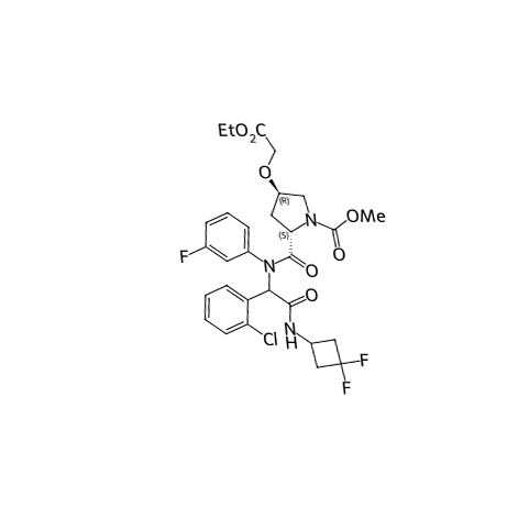 CCOC(=O)CO[C@@H]1C[C@@H](C(=O)N(c2cccc(F)c2)C(C(=O)NC2CC(F)(F)C2)c2ccccc2Cl)N(C(=O)OC)C1